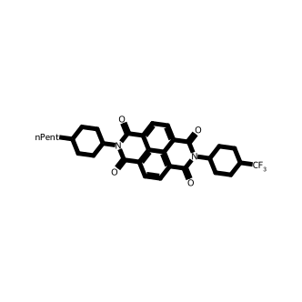 CCCCCC1CCC(N2C(=O)c3ccc4c5c(ccc(c35)C2=O)C(=O)N(C2CCC(C(F)(F)F)CC2)C4=O)CC1